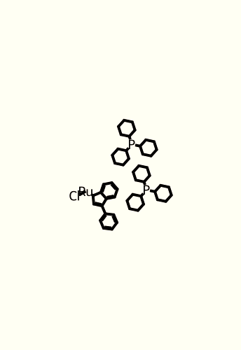 C1CCC(P(C2CCCCC2)C2CCCCC2)CC1.C1CCC(P(C2CCCCC2)C2CCCCC2)CC1.[Cl][Ru]=[C]1C=C(c2ccccc2)c2ccccc21